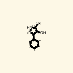 CC(C)c1[nH]nc(-c2ccccc2)c1O